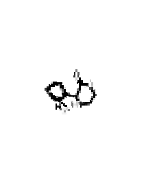 Nc1ccccc1C1NCCOC1=O